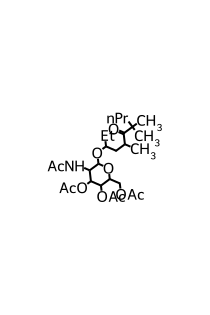 CCCC(C)(C)C(=O)C(C)CC(CC)OC1OC(COC(C)=O)C(OC(C)=O)C(OC(C)=O)C1NC(C)=O